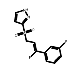 O=S(=O)(CC=C(F)c1cccc(F)c1)c1cc[nH]n1